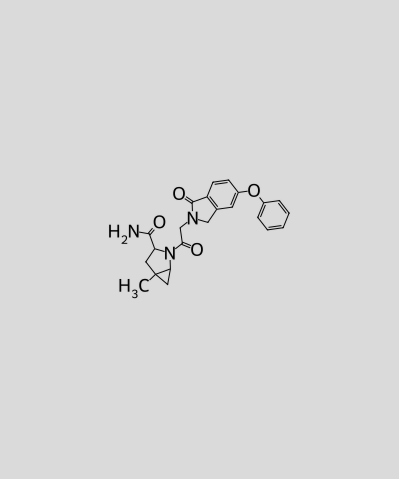 CC12CC(C(N)=O)N(C(=O)CN3Cc4cc(Oc5ccccc5)ccc4C3=O)C1C2